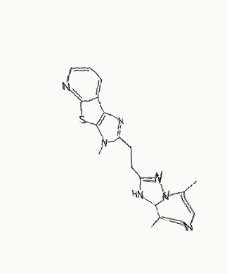 CC1=CN=C(C)C2NC(CCc3nc4c5cccnc5sc4n3C)=NN12